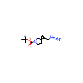 CC(C)(C)OC(=O)N1CCC2(CC2CN=[N+]=[N-])C1